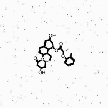 Cc1ccccc1O[C@@H](C)C(=O)OC1CC(O)C=C2C=CC(C)C(CC[C@@H]3C[C@@H](O)CC(=O)O3)C21